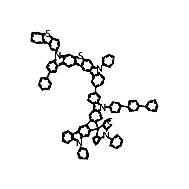 c1ccc(-c2ccc(-c3ccc(-n4c5cc(-c6ccc7c(c6)c6cc8c(cc6n7-c6ccccc6)sc6cc7c(cc68)c6cc(-c8ccccc8)ccc6n7-c6ccc7sc8ccccc8c7c6)ccc5c5cc6c(cc54)C4(c5cc7c(cc5-6)c5ccccc5n7-c5ccccc5)c5ccccc5N(c5ccccc5)c5ccccc54)cc3)cc2)cc1